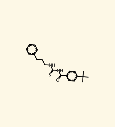 CC(C)(C)c1ccc(C(=O)NC(=S)NCCCc2ccccc2)cc1